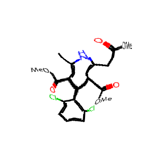 COC(=O)CC1=C(C(=O)OC)C(c2c(Cl)cccc2Cl)C(C(=O)OC)=C(C)N1